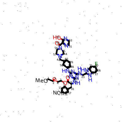 COCCOCCOC(=O)[C@H](Cc1ccc(C#N)cc1)Nc1nc(NCC2Nc3ccc(F)cc3N2)nc(Nc2cccc(CN3CCN(C(=O)c4nccnc4O)CC3)c2)n1